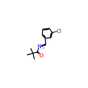 CC(C)(C)C(=O)/N=C/c1cccc(Cl)c1